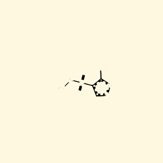 CCCCCCNS(=O)(=O)c1conc1C